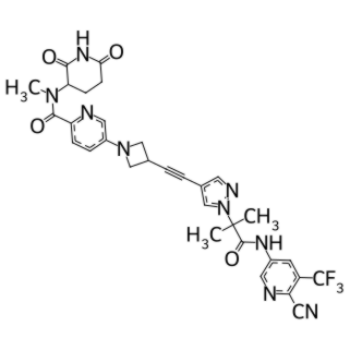 CN(C(=O)c1ccc(N2CC(C#Cc3cnn(C(C)(C)C(=O)Nc4cnc(C#N)c(C(F)(F)F)c4)c3)C2)cn1)C1CCC(=O)NC1=O